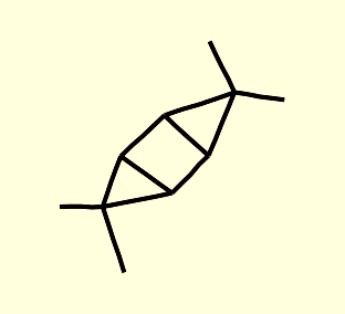 CC1(C)C2C1C1C2C1(C)C